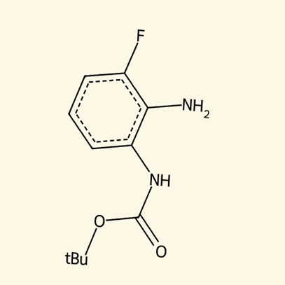 CC(C)(C)OC(=O)Nc1cccc(F)c1N